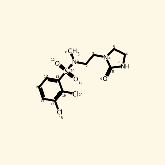 CN(CCN1CCNC1=O)S(=O)(=O)c1cccc(Cl)c1Cl